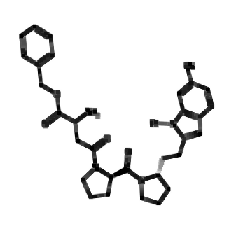 CCn1c(CC[C@@H]2CCCN2C(=O)[C@H]2CCCN2C(=O)CC(N)C(=O)OCc2ccccc2)cc2ccc(C#N)cc21